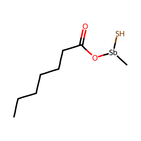 CCCCCCC(=O)[O][Sb]([CH3])[SH]